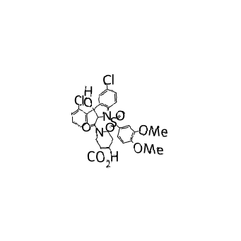 COc1ccc(S(=O)(=O)N2c3ccc(Cl)cc3C(O)(c3ccccc3Cl)C2C(=O)N2CCC(C(=O)O)CC2)cc1OC